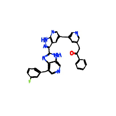 O=C(Cc1cncc(-c2cnc3[nH]nc(-c4nc5c(-c6cccc(F)c6)cncc5[nH]4)c3c2)c1)c1ccccc1